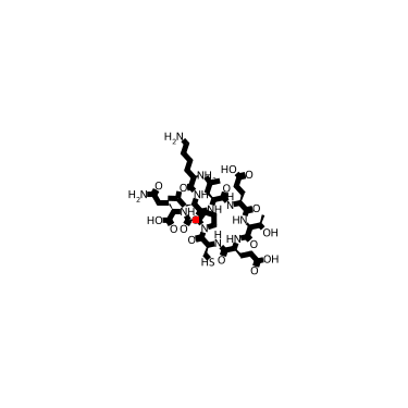 CC(C)C[C@H](NC(=O)[C@H](CC(C)C)NC(=O)[C@@H](N)CCCCN)C(=O)N[C@@H](CCC(=O)O)C(=O)N[C@H](C(=O)N[C@@H](CCC(=O)O)C(=O)N[C@@H](CS)C(=O)N1CCC[C@H]1C(=O)N[C@@H](CCC(N)=O)C(=O)O)[C@@H](C)O